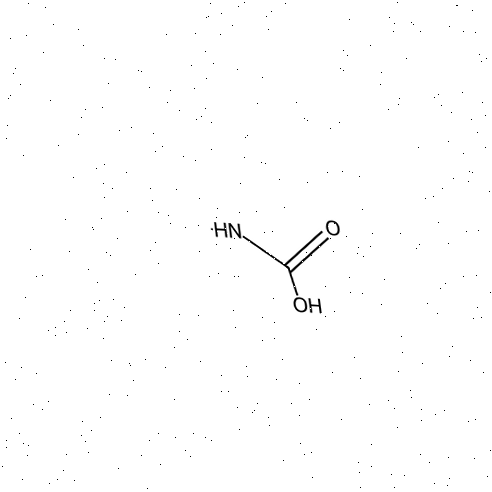 [NH]C(=O)O